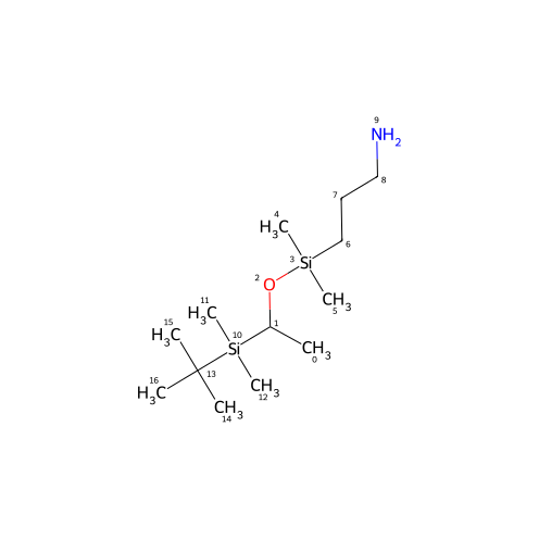 CC(O[Si](C)(C)CCCN)[Si](C)(C)C(C)(C)C